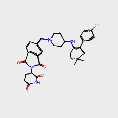 CC1(C)CCC(NC2CCN(Cc3ccc4c(c3)C(=O)N(C3CCC(=O)NC3=O)C4=O)CC2)=C(c2ccc(Cl)cc2)C1